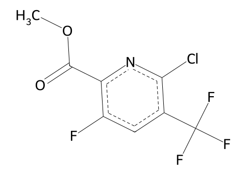 COC(=O)c1nc(Cl)c(C(F)(F)F)cc1F